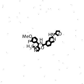 COc1ccc([C@H](NC(=O)c2ccc3cnc(NC4CCOC4)cc3c2)c2ccnn2C)cc1F